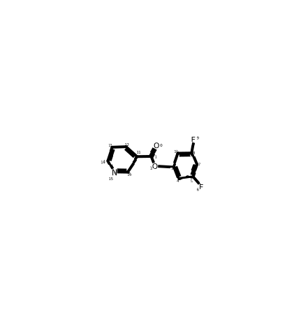 O=C(Oc1cc(F)cc(F)c1)c1cccnc1